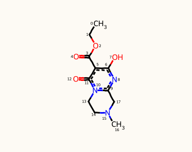 CCOC(=O)c1c(O)nc2n(c1=O)CCN(C)C2